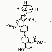 COC(=O)c1ccc(O)c2c1CN(c1ccc(-c3ccn(C45C[C@H]6C[C@@H](C4)C[C@@H](C5)C6)c3C)c(C(=O)OC(C)(C)C)n1)CC2